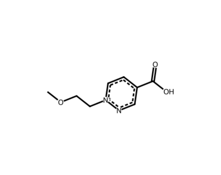 COCC[n+]1ccc(C(=O)O)cn1